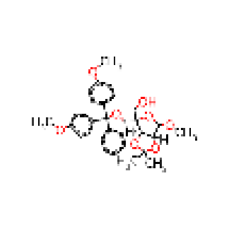 COc1ccc(C(OC[C@]2(CO)O[C@@H](OC)[C@@H]3OC(C)(C)O[C@@H]32)(c2ccccc2)c2ccc(OC)cc2)cc1